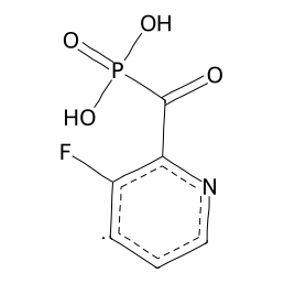 O=C(c1ncc[c]c1F)P(=O)(O)O